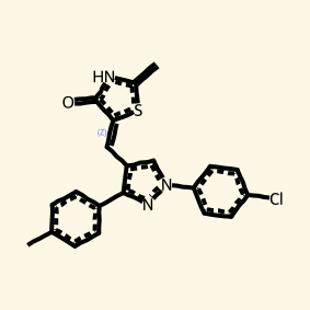 C=c1[nH]c(=O)/c(=C/c2cn(-c3ccc(Cl)cc3)nc2-c2ccc(C)cc2)s1